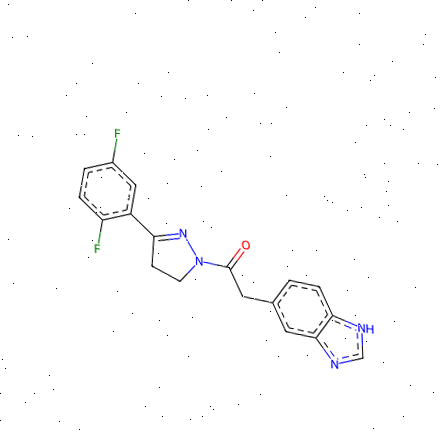 O=C(Cc1ccc2[nH]cnc2c1)N1CCC(c2cc(F)ccc2F)=N1